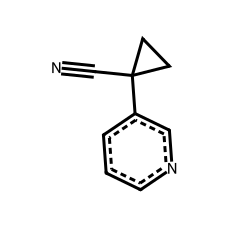 N#CC1(c2cccnc2)CC1